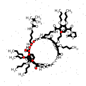 CCCCOc1c2ccc(c1OCCCC)C(=O)NCC[N@@]1CCNC(=O)c3ccc(c(OCCCC)c3OCCCC)C(=O)N[C@@H](CCCCNC(=O)OC(C)(C)C)CN(CCNC2=O)C[C@H](CCCNC(=O)c2ccc(C(=O)N3CCSC3=S)c(OCCCC)c2OCCCC)NC(=O)c2ccc(c(OCCCC)c2OCCCC)C(=O)NCC1